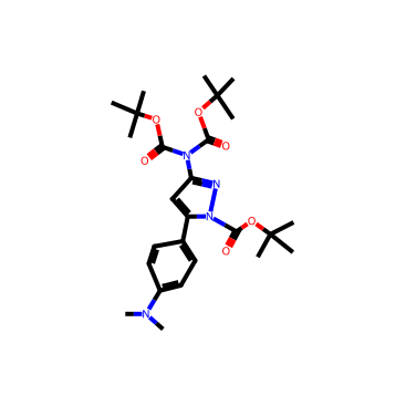 CN(C)c1ccc(-c2cc(N(C(=O)OC(C)(C)C)C(=O)OC(C)(C)C)nn2C(=O)OC(C)(C)C)cc1